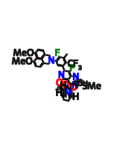 COc1ccc(CN(Cc2ccc(OC)cc2)c2cc(-c3nc4c5c(nc(CSC)nc5c3F)N3C[C@H]5CC[C@@H]([C@H]3[C@H](C)O4)N5C(=O)OC(C)(C)C)c(C(F)(F)F)c(C)c2F)cc1